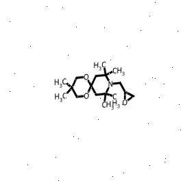 CC1(C)COC2(CC(C)(C)N(CC3CO3)C(C)(C)C2)OC1